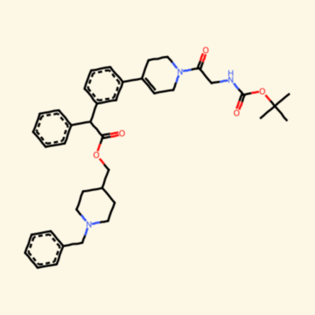 CC(C)(C)OC(=O)NCC(=O)N1CC=C(c2cccc(C(C(=O)OCC3CCN(Cc4ccccc4)CC3)c3ccccc3)c2)CC1